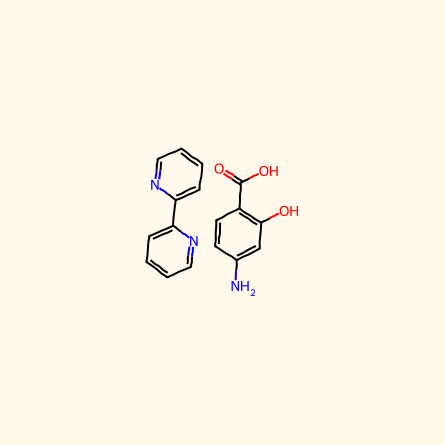 Nc1ccc(C(=O)O)c(O)c1.c1ccc(-c2ccccn2)nc1